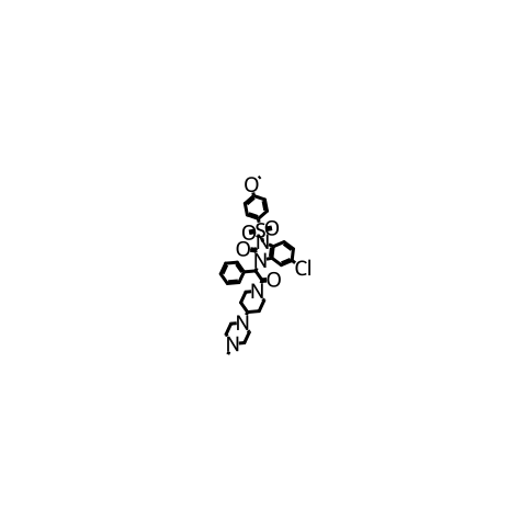 COc1ccc(S(=O)(=O)n2c(=O)n(C(C(=O)N3CCC(N4CCN(C)CC4)CC3)c3ccccc3)c3cc(Cl)ccc32)cc1